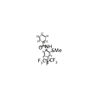 CSc1cc(C(F)(C(F)(F)F)C(F)(F)F)ccc1NC(=O)c1ccccc1